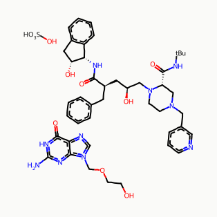 CC(C)(C)NC(=O)[C@@H]1CN(Cc2cccnc2)CCN1C[C@@H](O)C[C@@H](Cc1ccccc1)C(=O)N[C@H]1c2ccccc2C[C@H]1O.Nc1nc2c(ncn2COCCO)c(=O)[nH]1.O=S(=O)(O)O